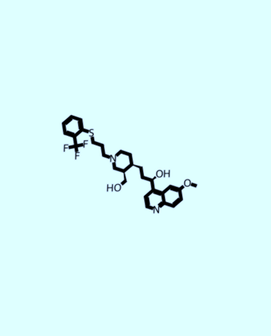 COc1ccc2nccc([C@H](O)CC[C@@H]3CCN(CCCSc4ccccc4C(F)(F)F)C[C@@H]3CO)c2c1